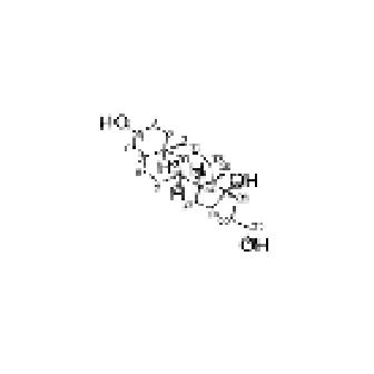 C[C@]12CCC(O)CC1CC[C@@H]1[C@H]2CC[C@@]2(C)[C@H]1CCC2(O)CCCO